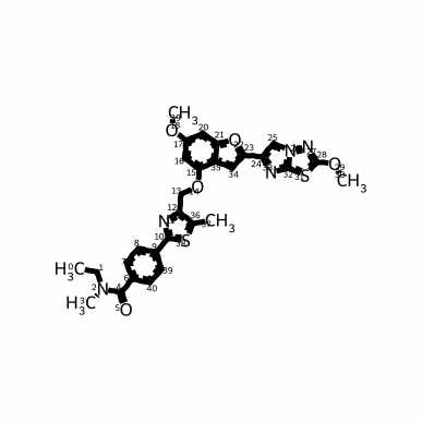 CCN(C)C(=O)c1ccc(-c2nc(COc3cc(OC)cc4oc(-c5cn6nc(OC)sc6n5)cc34)c(C)s2)cc1